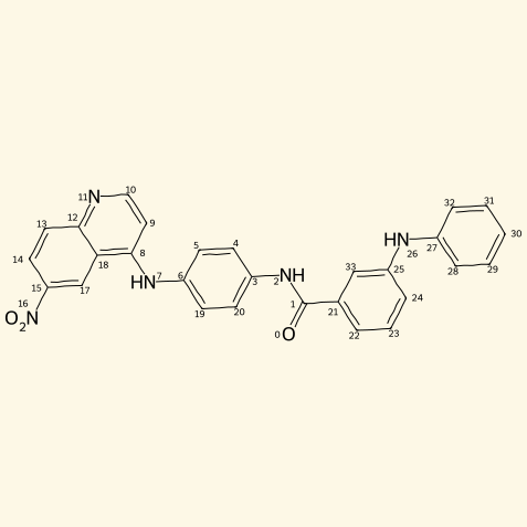 O=C(Nc1ccc(Nc2ccnc3ccc([N+](=O)[O-])cc23)cc1)c1cccc(Nc2ccccc2)c1